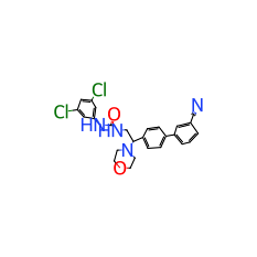 N#Cc1cccc(-c2ccc(C(CNC(=O)Nc3cc(Cl)cc(Cl)c3)N3CCOCC3)cc2)c1